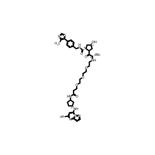 CCCc1cc(N[C@@H]2CCC(NC(=O)CCOCCOCCOCCN[C@H](C(=O)C3C[C@H](O)C[C@H]3C(=O)NCc3ccc(-c4scnc4C)cc3)C(C)(C)C)C2)n2nccc2n1